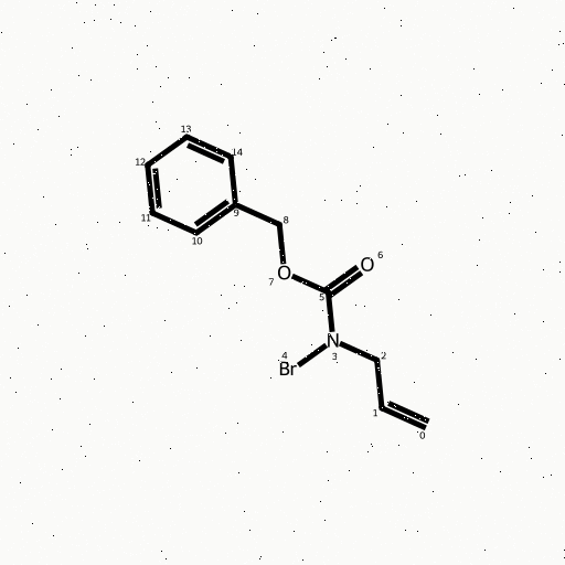 C=CCN(Br)C(=O)OCc1ccccc1